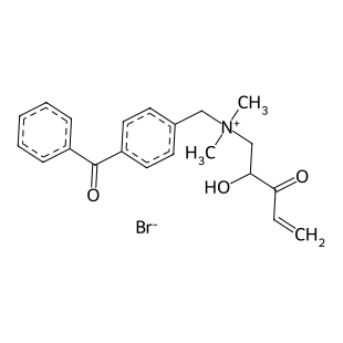 C=CC(=O)C(O)C[N+](C)(C)Cc1ccc(C(=O)c2ccccc2)cc1.[Br-]